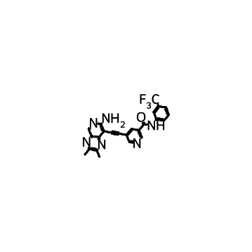 Cc1nc2cnc(N)c(C#Cc3cncc(C(=O)Nc4cccc(C(F)(F)F)c4)c3)c2nc1C